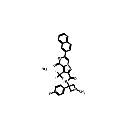 CN1CC(NC(=O)c2nn3cc(-c4ccc5ccccc5c4)[nH]c(=O)c3c2C(F)(F)F)(c2ccc(F)cc2)C1.Cl